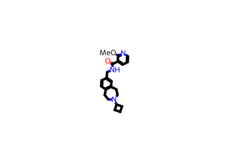 COc1ncccc1C(=O)NCc1ccc2c(c1)CCN(C1CCC1)CC2